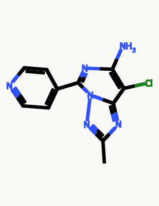 Cc1nc2c(Cl)c(N)nc(-c3ccncc3)n2n1